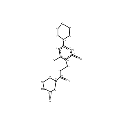 Cc1nc(N2CCOCC2)[nH]c(=O)c1CCC(=O)N1CCNC(=O)C1